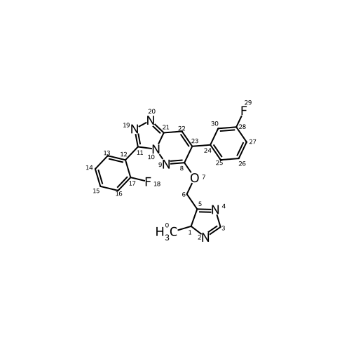 CC1N=CN=C1COc1nn2c(-c3ccccc3F)nnc2cc1-c1cccc(F)c1